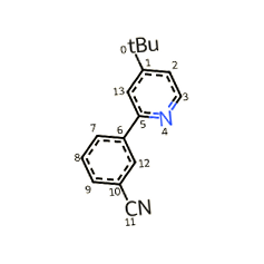 CC(C)(C)c1ccnc(-c2cccc(C#N)c2)c1